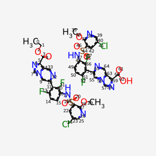 CCOC(=O)c1ncn2cc(-c3c(F)ccc(NS(=O)(=O)c4cc(Cl)cnc4OC)c3F)ncc12.COc1ncc(Cl)cc1S(=O)(=O)Nc1ccc(F)c(-c2cn3cnc(C(=O)O)c3cn2)c1F